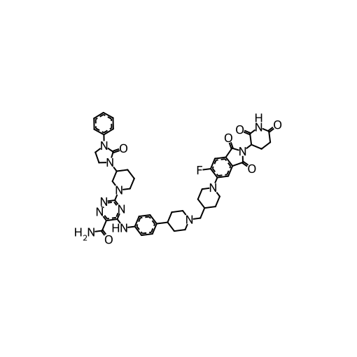 NC(=O)c1nnc(N2CCCC(N3CCN(c4ccccc4)C3=O)C2)nc1Nc1ccc(C2CCN(CC3CCN(c4cc5c(cc4F)C(=O)N(C4CCC(=O)NC4=O)C5=O)CC3)CC2)cc1